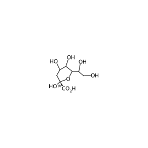 O=C(O)[C@@]1(O)CC(O)C(O)C(C(O)CO)O1